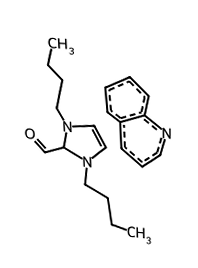 CCCCN1C=CN(CCCC)C1C=O.c1ccc2ncccc2c1